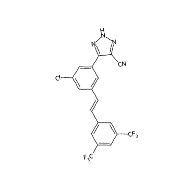 N#Cc1n[nH]nc1-c1cc(Cl)cc(/C=C/c2cc(C(F)(F)F)cc(C(F)(F)F)c2)c1